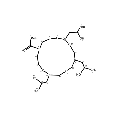 CCCCC(O)CN1CCCN(C(=O)OC)CCCN(CC(C)O)CCCN(CC(C)O)CC1